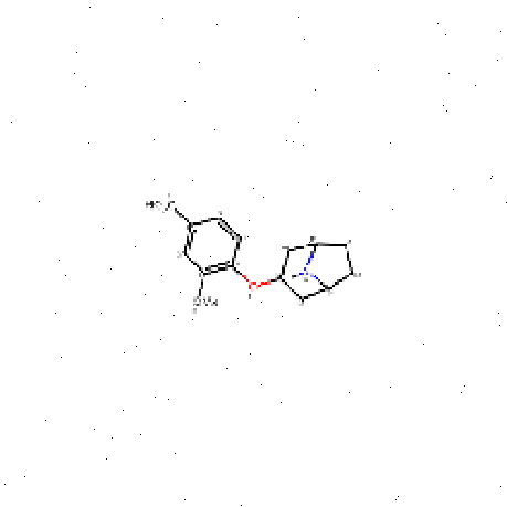 COc1cc(C(=O)O)ccc1OC1CC2CCC(C1)N2C